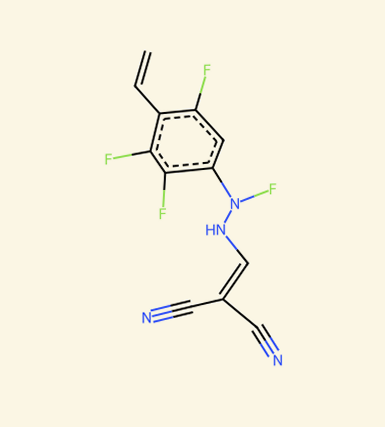 C=Cc1c(F)cc(N(F)NC=C(C#N)C#N)c(F)c1F